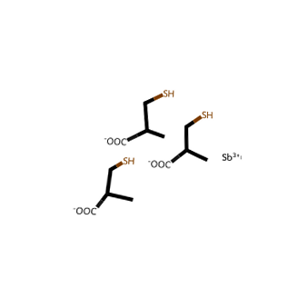 CC(CS)C(=O)[O-].CC(CS)C(=O)[O-].CC(CS)C(=O)[O-].[Sb+3]